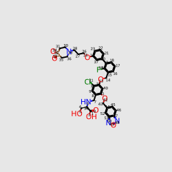 O=C(O)[C@@H](CO)NCc1cc(Cl)c(OCc2cccc(-c3cccc(OCCCN4CCS(=O)(=O)CC4)c3)c2F)cc1OCc1ccc2nonc2c1